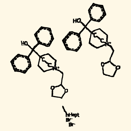 CCCCCCCC.OC(c1ccccc1)(c1ccccc1)C12CC[N+](CC3OCCO3)(CC1)CC2.OC(c1ccccc1)(c1ccccc1)C12CC[N+](CC3OCCO3)(CC1)CC2.[Br-].[Br-]